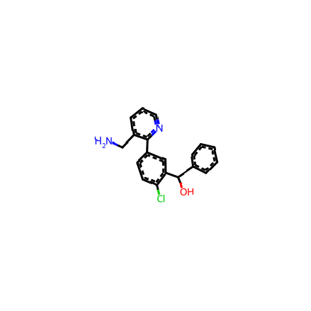 NCc1cccnc1-c1ccc(Cl)c(C(O)c2ccccc2)c1